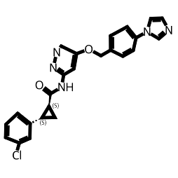 O=C(Nc1cc(OCc2ccc(-n3ccnc3)cc2)cnn1)[C@H]1C[C@@H]1c1cccc(Cl)c1